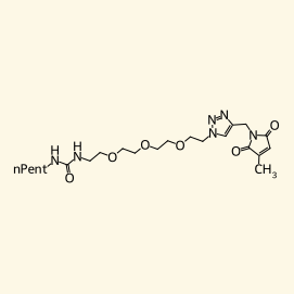 CCCCCNC(=O)NCCOCCOCCOCCn1cc(CN2C(=O)C=C(C)C2=O)nn1